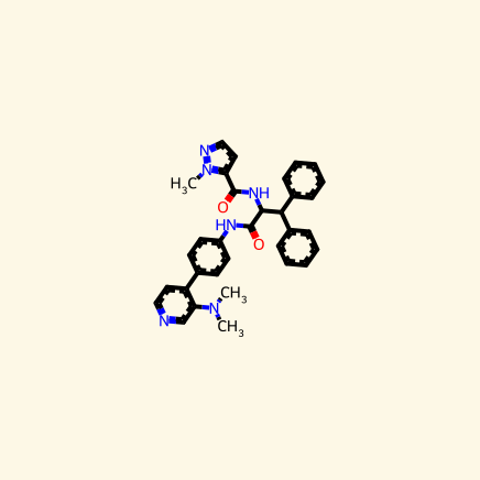 CN(C)c1cnccc1-c1ccc(NC(=O)C(NC(=O)c2ccnn2C)C(c2ccccc2)c2ccccc2)cc1